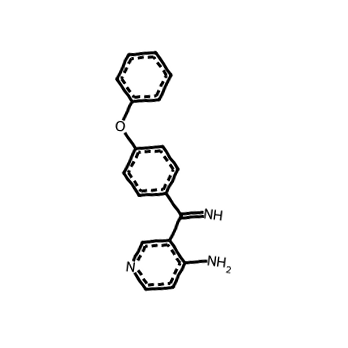 N=C(c1ccc(Oc2ccccc2)cc1)c1cnccc1N